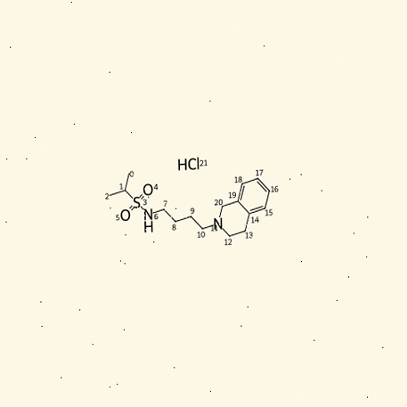 CC(C)S(=O)(=O)NCCCCN1CCc2ccccc2C1.Cl